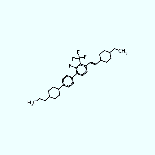 CCCC1CCC(c2ccc(-c3ccc(/C=C/C4CCC(CC)CC4)c(C(F)(F)F)c3F)cc2)CC1